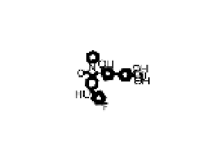 O=C1N(c2ccccc2)[C@H](c2ccc(-c3ccc(P(=O)(O)O)cc3)cc2O)C12CCC(O)(c1ccc(F)cc1)CC2